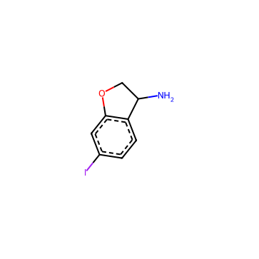 NC1COc2cc(I)ccc21